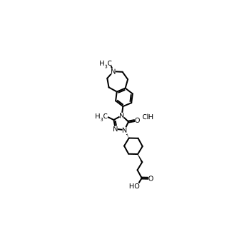 Cc1nn([C@H]2CC[C@H](CCC(=O)O)CC2)c(=O)n1-c1ccc2c(c1)CCN(C)CC2.Cl